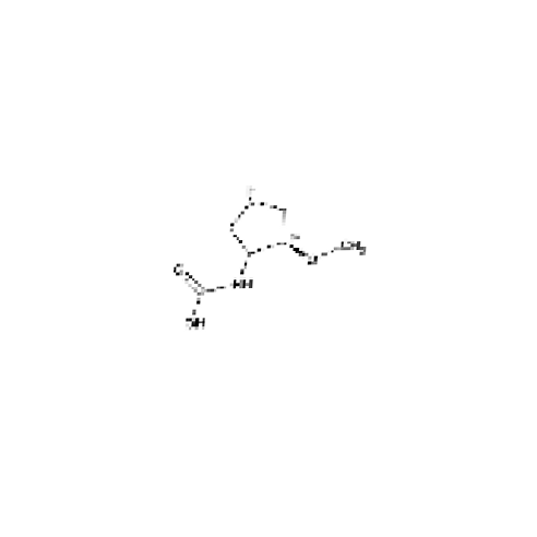 CO[C@@H]1CNCC1NC(=O)O